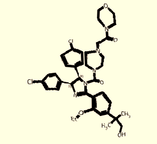 CCOc1cc(C(C)(C)CO)ccc1C1=N[C@@H](c2ccc(Cl)cc2)[C@@H](c2ccc(Cl)cc2)N1C(=O)N1CCN(CC(=O)N2CCOCC2)CC1